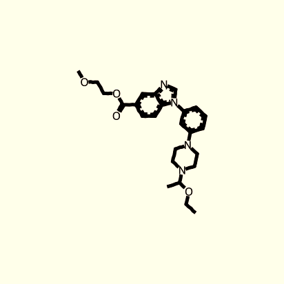 CCOC(C)N1CCN(c2cccc(-n3cnc4cc(C(=O)OCCOC)ccc43)c2)CC1